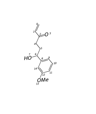 C=CC(=O)CCC(O)c1cccc(OC)c1